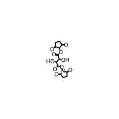 O=C1CCC(=O)C1OC(=O)C(O)C(O)C(=O)ON1C(=O)CCC1=O